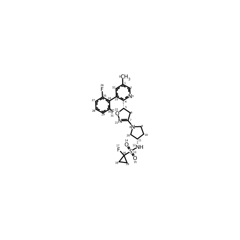 Cc1cnc([C@@H]2CC(N3CC[C@H](NS(=O)(=O)C4(F)CC4)C3)=NO2)c(-c2c(F)cccc2F)c1